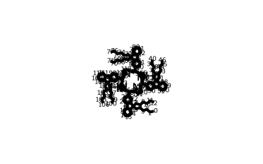 CCCCCCC1(CCCCCC)c2ccccc2-c2ccc(-c3c4nc(c(-c5ccc6c(c5)C(CCCCCC)(CCCCCC)c5ccccc5-6)c5ccc([nH]5)c(-c5ccc6c(c5)C(CCCCCC)(CCCCCC)c5ccccc5-6)c5nc(c(-c6ccc7c(c6)C(CCCCCC)(CCCCCC)c6ccccc6-7)c6ccc3[nH]6)C=C5)C=C4)cc21